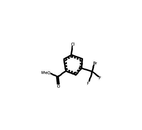 COC(=O)c1cc(Cl)cc(C(F)(F)Br)c1